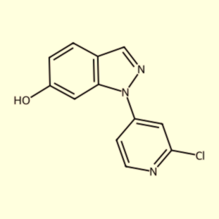 Oc1ccc2cnn(-c3ccnc(Cl)c3)c2c1